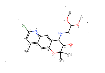 CCOC(CNC1c2cc3nc(Cl)cc(C)c3cc2OC(C)(C)C1O)OCC